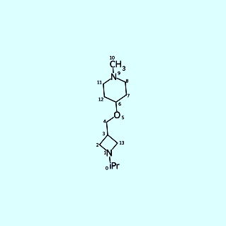 CC(C)N1CC(COC2CCN(C)CC2)C1